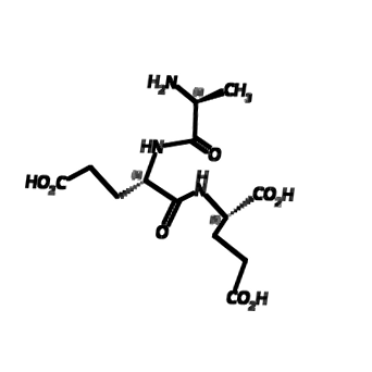 C[C@H](N)C(=O)N[C@@H](CCC(=O)O)C(=O)N[C@@H](CCC(=O)O)C(=O)O